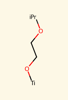 CC(C)OCC[O][Ti]